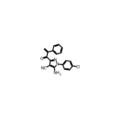 C=C(C(=O)c1nn(-c2ccc(Cl)cc2)c(N)c1C#N)c1ccccc1